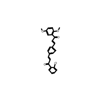 COc1ccc(OC)c(C(=O)/C=C/c2ccc(/C=C/C(=O)c3ccccc3Cl)cc2)c1